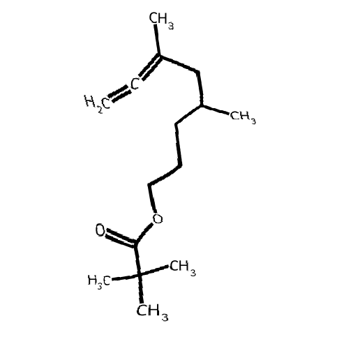 C=C=C(C)CC(C)CCCOC(=O)C(C)(C)C